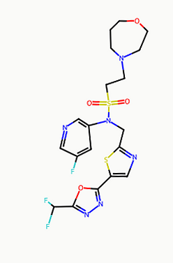 O=S(=O)(CCN1CCCOCC1)N(Cc1ncc(-c2nnc(C(F)F)o2)s1)c1cncc(F)c1